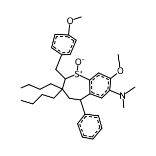 CCCCC1(CCCC)CC(c2ccccc2)c2cc(N(C)C)c(OC)cc2[S+]([O-])C1Cc1ccc(OC)cc1